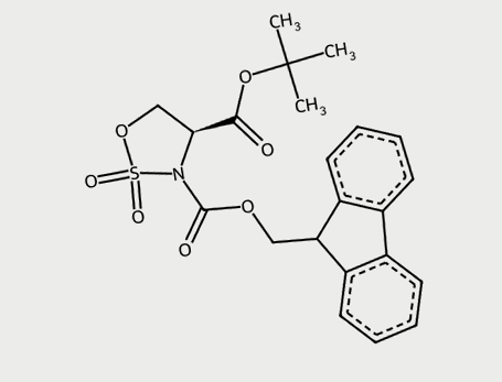 CC(C)(C)OC(=O)[C@@H]1COS(=O)(=O)N1C(=O)OCC1c2ccccc2-c2ccccc21